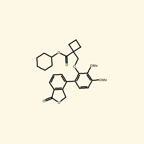 COc1ccc(-c2cccc3c2COC3=O)c(OCC2(C(=O)OC3CCCCC3)CCC2)c1OC